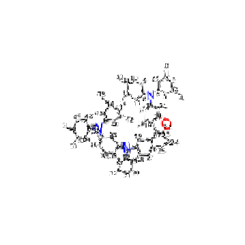 Cc1cc(C)cc(N(c2ccc(C)c(C)c2)c2ccc3c(c2)oc2ccc4cc5c6cccc7c8ccc(N(c9cc(C)cc(C)c9)c9ccc(C)c(C)c9)cc8n(c5cc4c23)c76)c1